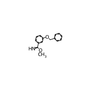 COC(=N)c1cccc(OCc2ccccc2)c1